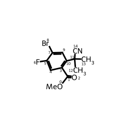 COC(=O)c1cc(F)c(Br)cc1C(C)(C)C#N